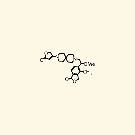 COC(CN1CCC2(CC1)CCN(C1=CC(=O)OC1)CC2)c1ccc2c(c1C)COC2=O